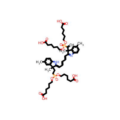 C=C(C1(C)C(C=CC=CC=C2Nc3ccc(C)cc3C2(C)CCP(=O)(OCCCCCC(=O)O)OCCCCCC(=O)O)=Nc2ccc(C)cc21)P(=O)(OCCCCCC(=O)O)OCCCCCC(=O)O